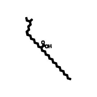 CCCCCCCCCCCCCCCCC(CCCCCC/C=C\CCCC(C)CC)C(=O)O